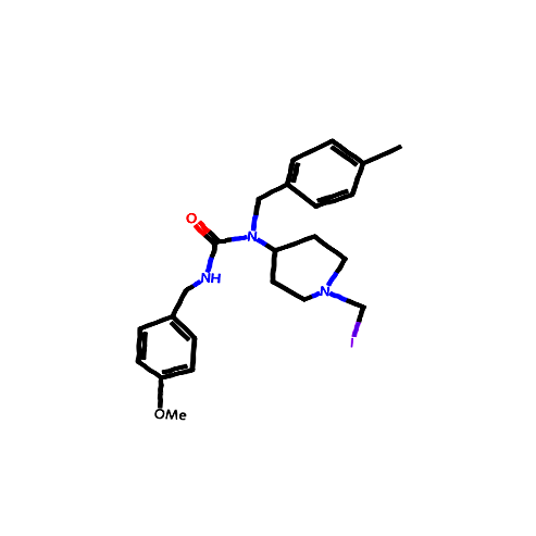 COc1ccc(CNC(=O)N(Cc2ccc(C)cc2)C2CCN(CI)CC2)cc1